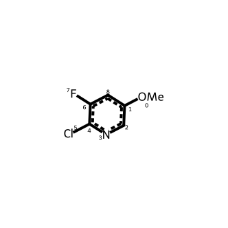 COc1cnc(Cl)c(F)c1